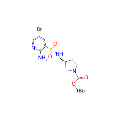 CC(C)(C)OC(=O)N1CC[C@H](CNS(=O)(=O)c2cc(Br)cnc2N)C1